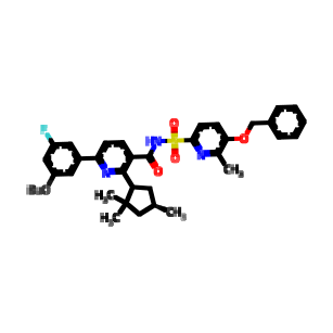 Cc1nc(S(=O)(=O)NC(=O)c2ccc(-c3cc(F)cc(OCC(C)C)c3)nc2C2C[C@@H](C)CC2(C)C)ccc1OCc1ccccc1